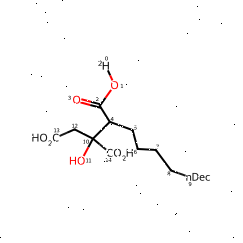 [2H]OC(=O)C(CCCCCCCCCCCCCC)C(O)(CC(=O)O)C(=O)O